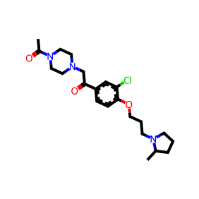 CC(=O)N1CCN(CC(=O)c2ccc(OCCCN3CCCC3C)c(Cl)c2)CC1